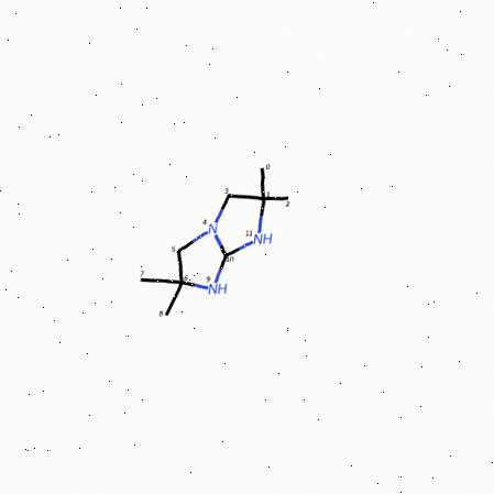 CC1(C)CN2CC(C)(C)NC2N1